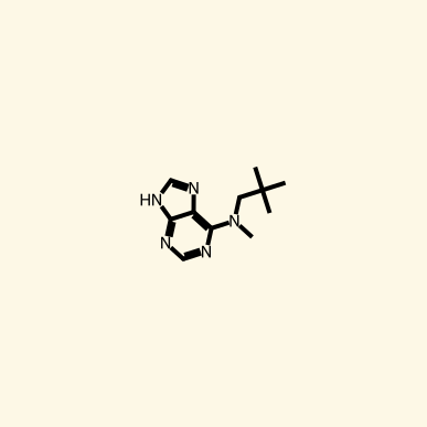 CN(CC(C)(C)C)c1ncnc2[nH]cnc12